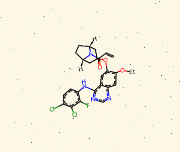 C=CC(=O)N1[C@@H]2CC[C@H]1C[C@H](Oc1cc3c(Nc4ccc(Cl)c(Cl)c4F)ncnc3cc1OCC)C2